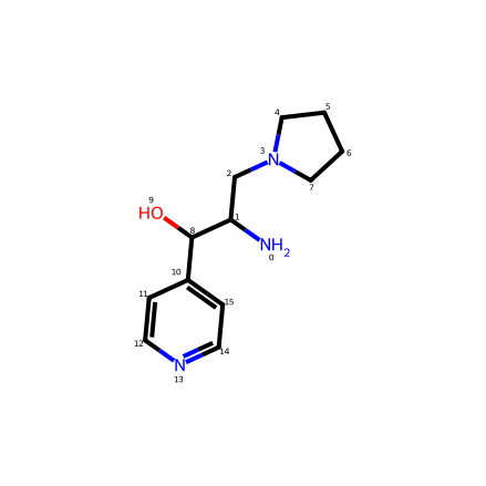 NC(CN1CCCC1)C(O)c1ccncc1